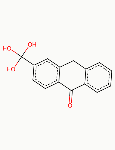 O=C1c2ccccc2Cc2cc(C(O)(O)O)ccc21